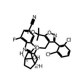 CC(C)(O)c1onc(-c2c(Cl)cccc2Cl)c1COC1C[C@H]2CC[C@@H](C1)C2(O)c1nc2c(F)cc(C#N)cc2s1